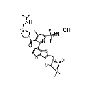 Cc1cc(C(F)(F)F)nc(-c2ccnc3cc(CN4C(=O)C5C(C4=O)C5(C)C)sc23)c1C(=O)N1CC[C@@H](CNC(C)C)C1.Cl.Cl.Cl